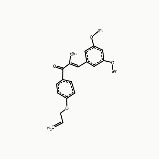 C=CCOc1ccc(C(=O)C(=Cc2cc(OC(C)C)cc(OC(C)C)c2)C(C)(C)C)cc1